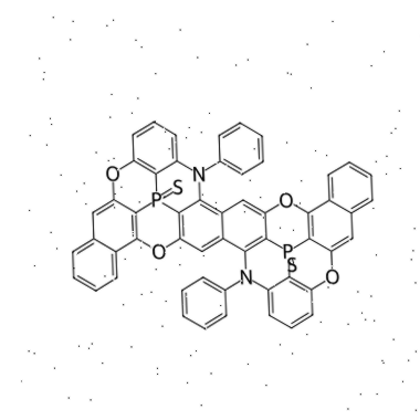 S=P12c3c4cccc3N(c3ccccc3)c3c1c(cc1c5c6c(cc31)Oc1c3c(cc7ccccc17)Oc1cccc(c1P36=S)N5c1ccccc1)Oc1c2c(cc2ccccc12)O4